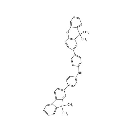 CC1(C)c2ccccc2Oc2ccc(-c3ccc(Nc4ccc(-c5ccc6c(c5)C(C)(C)c5ccccc5-6)cc4)cc3)cc21